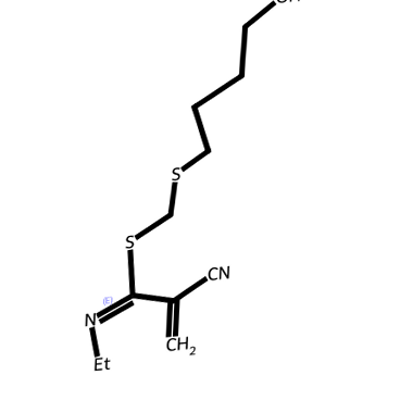 C=C(C#N)/C(=N\CC)SCSCCCCO